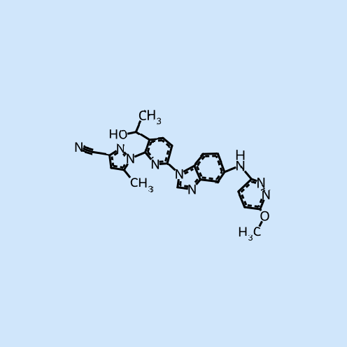 COc1ccc(Nc2ccc3c(c2)ncn3-c2ccc(C(C)O)c(-n3nc(C#N)cc3C)n2)nn1